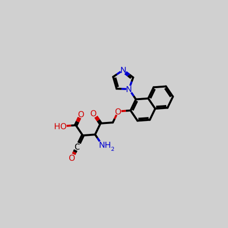 NC(C(=O)COc1ccc2ccccc2c1-n1ccnc1)C(=C=O)C(=O)O